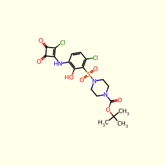 CC(C)(C)OC(=O)N1CCN(S(=O)(=O)c2c(Cl)ccc(Nc3c(Cl)c(=O)c3=O)c2O)CC1